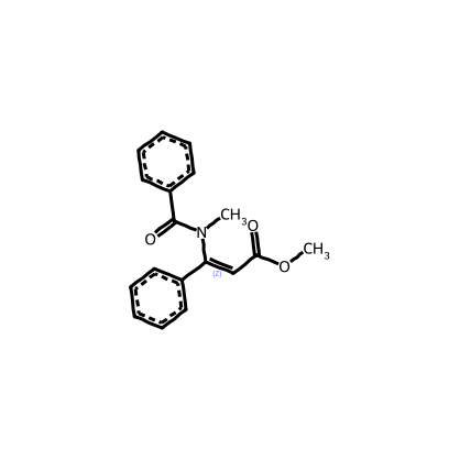 COC(=O)/C=C(/c1ccccc1)N(C)C(=O)c1ccccc1